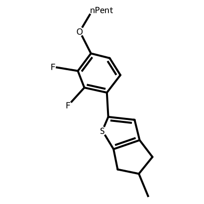 CCCCCOc1ccc(-c2cc3c(s2)CC(C)C3)c(F)c1F